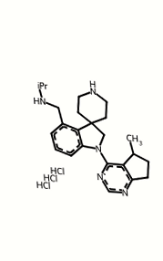 CC(C)NCc1cccc2c1C1(CCNCC1)CN2c1ncnc2c1C(C)CC2.Cl.Cl.Cl